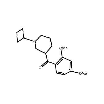 COc1ccc(C(=O)C2CCCN(C3CCC3)C2)c(OC)c1